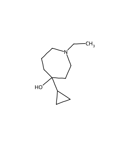 CCN1CCCC(O)(C2CC2)CC1